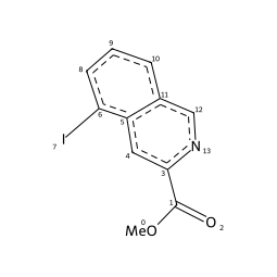 COC(=O)c1cc2c(I)cccc2cn1